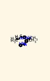 C=C(C)CCNC(=C)c1ccc(NC(c2ccc(C3=NCC(c4ccccc4)N3)cc2)C(C)CC)cc1